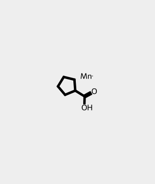 O=C(O)C1CCCC1.[Mn]